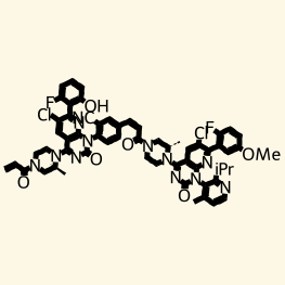 C=CC(=O)N1CCN(c2nc(=O)n(-c3ccc(/C=C\C(=O)N4CCN(c5nc(=O)n(-c6c(C)ccnc6C(C)C)c6nc(-c7cc(OC)ccc7F)c(Cl)cc56)[C@@H](C)C4)cc3C#N)c3nc(-c4c(O)cccc4F)c(Cl)cc23)[C@@H](C)C1